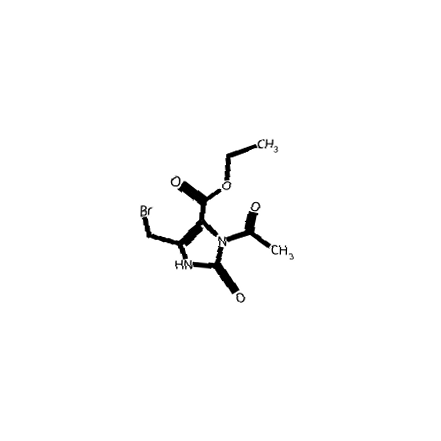 CCOC(=O)c1c(CBr)[nH]c(=O)n1C(C)=O